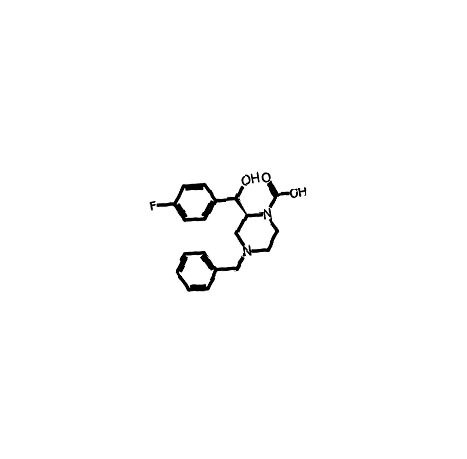 O=C(O)N1CCN(Cc2ccccc2)C[C@H]1C(O)c1ccc(F)cc1